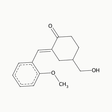 COc1ccccc1C=C1CC(CO)CCC1=O